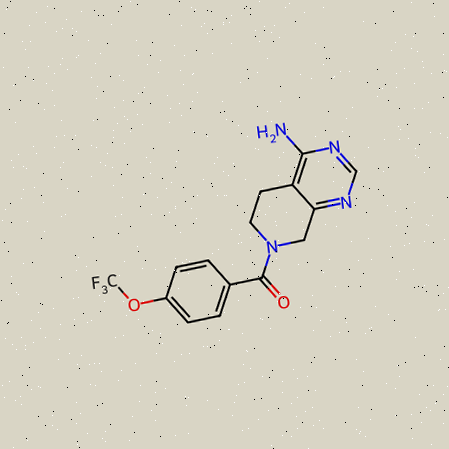 Nc1ncnc2c1CCN(C(=O)c1ccc(OC(F)(F)F)cc1)C2